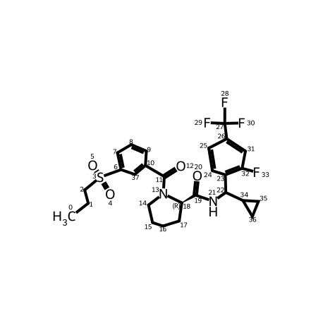 CCCS(=O)(=O)c1cccc(C(=O)N2CCCC[C@@H]2C(=O)NC(c2ccc(C(F)(F)F)cc2F)C2CC2)c1